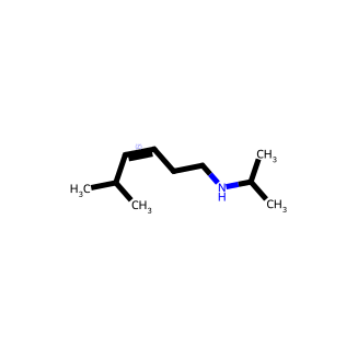 CC(C)/C=C\CCNC(C)C